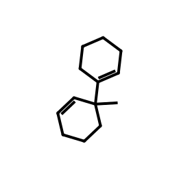 CC1(C2=CCCCC2)C=CCCC1